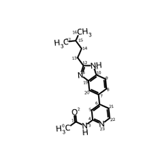 CC(=O)Nc1cc(-c2ccc3[nH]c(CCC(C)C)nc3c2)ccn1